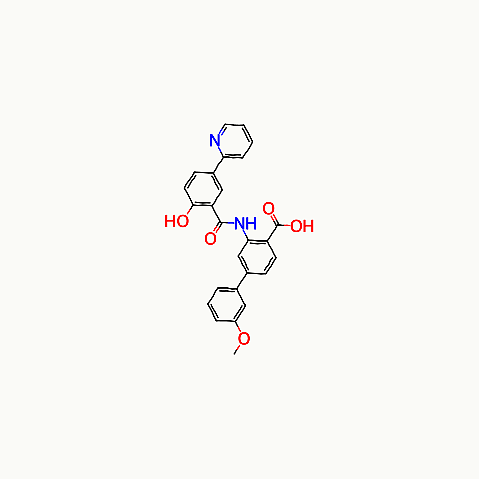 COc1cccc(-c2ccc(C(=O)O)c(NC(=O)c3cc(-c4ccccn4)ccc3O)c2)c1